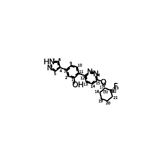 Oc1cc(-c2cn[nH]c2)ccc1-c1ccc(O[C@H]2CCCC[C@H]2F)nn1